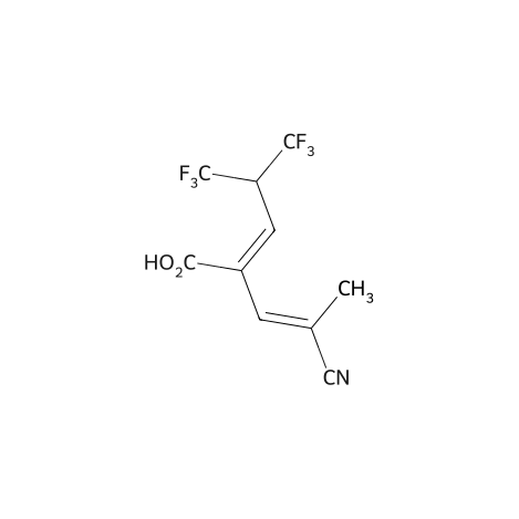 CC(C#N)=CC(=CC(C(F)(F)F)C(F)(F)F)C(=O)O